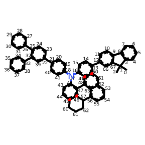 CC1(C)c2ccccc2-c2ccc(-c3ccc(N(c4ccc(-c5ccc(-c6ccccc6)c(-c6ccccc6)c5)cc4)c4ccccc4-c4cccc5cccc(C6CCCCC6)c45)cc3)cc21